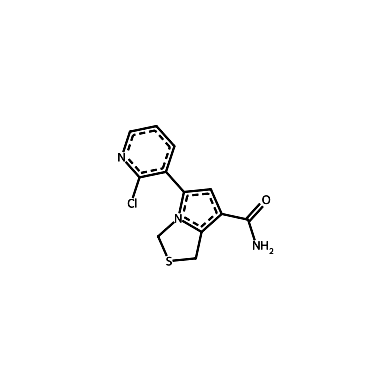 NC(=O)c1cc(-c2cccnc2Cl)n2c1CSC2